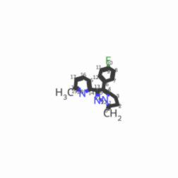 C=C1CCc2c(-c3ccc(F)cc3)c(-c3cccc(C)n3)nn21